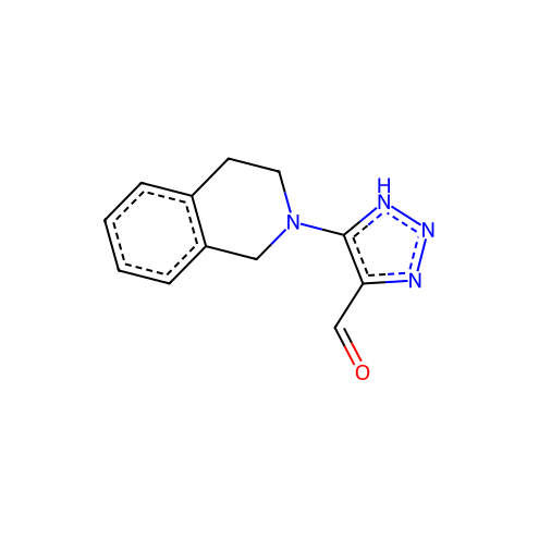 O=Cc1nn[nH]c1N1CCc2ccccc2C1